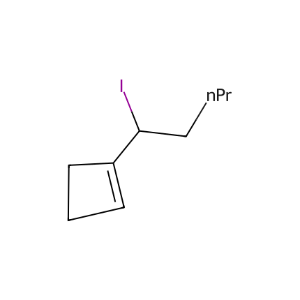 CCCCC(I)C1=CCC1